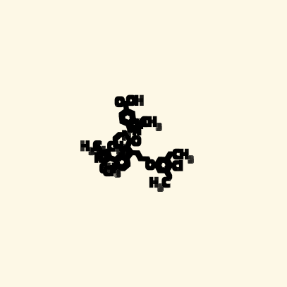 CCc1cc(OCCCc2c3n(c4c(-c5c(C)nn(C)c5C)c(Cl)ccc24)CCCN(c2nn(C)c4cc(C(=O)O)ccc24)C3=O)cc(CC)c1Cl